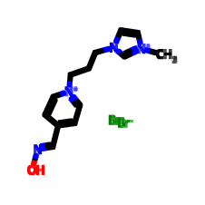 C[n+]1ccn(CCC[n+]2ccc(/C=N/O)cc2)c1.[Br-].[Br-]